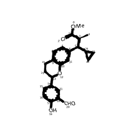 COC(=O)[C@@H](C)C(c1ccc2c(c1)OC(c1ccc(O)c(C=O)c1)CC2)C1CC1